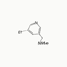 CCc1cncc(CNC)c1